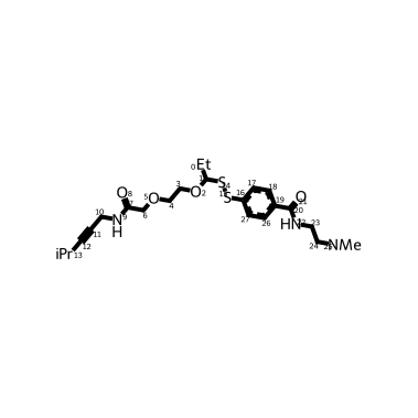 CCC(OCCOCC(=O)NCC#CC(C)C)SSc1ccc(C(=O)NCCNC)cc1